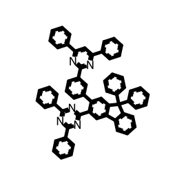 c1ccc(-c2cc(-c3ccccc3)nc(-c3cccc(-c4cc5c(cc4-c4nc(-c6ccccc6)nc(-c6ccccc6)n4)-c4ccccc4C5(c4ccccc4)c4ccccc4)c3)n2)cc1